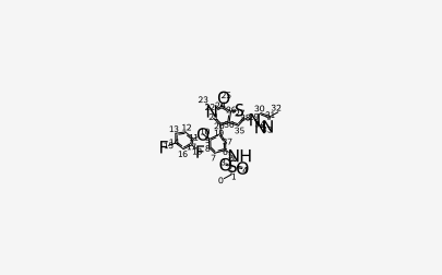 CCS(=O)(=O)Nc1ccc(Oc2ccc(F)cc2F)c(-c2cn(C)c(=O)c3sc(-n4cc(C)nn4)cc23)c1